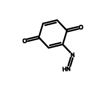 N=NC1=CC(=O)C=CC1=O